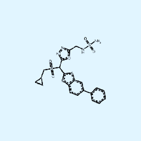 NS(=O)(=O)NCc1nnc(C(c2nc3ccc(-c4ccccc4)cc3s2)S(=O)(=O)CC2CC2)o1